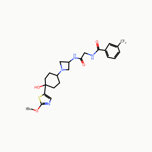 CC(C)(C)Oc1ncc(C2(O)CCC(N3CC(NC(=O)CNC(=O)c4cccc(C(F)(F)F)c4)C3)CC2)s1